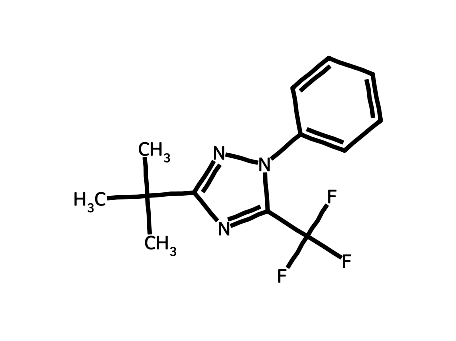 CC(C)(C)c1nc(C(F)(F)F)n(-c2ccccc2)n1